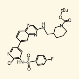 CC(C)(C)OC(=O)N1CCCC(CNc2cnc3ccc(-c4cnc(Cl)c(NS(=O)(=O)c5ccc(F)cc5)c4)cc3n2)C1